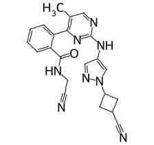 Cc1cnc(Nc2cnn(C3CC(C#N)C3)c2)nc1-c1ccccc1C(=O)NCC#N